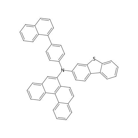 c1ccc2c(-c3ccc(N(c4ccc5c(c4)sc4ccccc45)c4cc5ccccc5c5c4ccc4ccccc45)cc3)cccc2c1